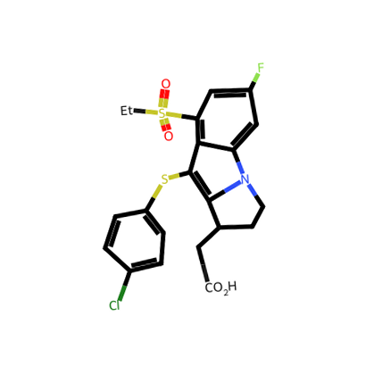 CCS(=O)(=O)c1cc(F)cc2c1c(Sc1ccc(Cl)cc1)c1n2CCC1CC(=O)O